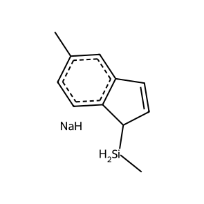 C[SiH2]C1C=Cc2cc(C)ccc21.[NaH]